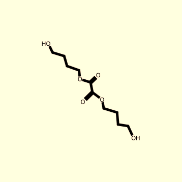 O=C(OCCCCO)C(=O)OCCCCO